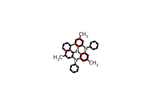 Cc1ccc(N(c2ccc(C)cc2N(c2ccccc2)c2ccccc2)c2ccc(C)cc2N(c2ccccc2)c2ccccc2)c(-c2ccccc2)c1